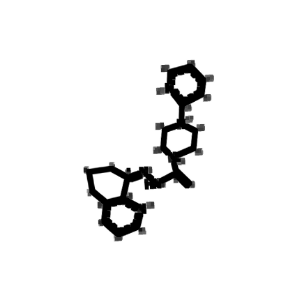 C=C(N/N=C1/CCCc2cccnc21)N1CCN(c2ccccn2)CC1